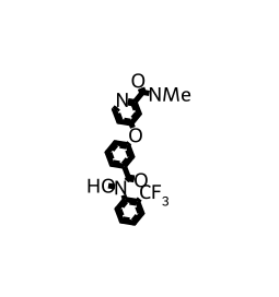 CNC(=O)c1cc(Oc2cccc(C(=O)N(O)c3ccccc3C(F)(F)F)c2)ccn1